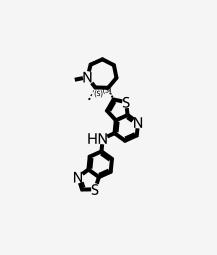 C[C@H]1[C@@H](c2cc3c(Nc4ccc5scnc5c4)ccnc3s2)CCCCN1C